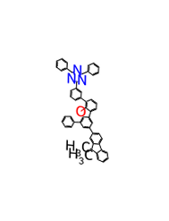 CC1(C)c2ccccc2-c2ccc(-c3cc(-c4ccccc4)c4oc5c(-c6cccc(-c7nc(-c8ccccc8)nc(-c8ccccc8)n7)c6)cccc5c4c3)cc21